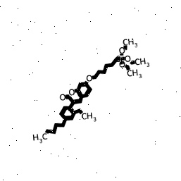 CCCCCc1ccc(-c2cc3ccc(OCCCCCC[Si](OCC)(OCC)OCC)cc3oc2=O)c(CC)c1